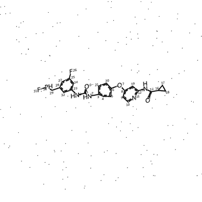 O=C(Nc1ccc(Oc2ccnc(NC(=O)C3CC3)c2)cc1)Nc1cc(F)cc(CPF)c1